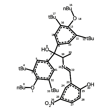 CCCCOc1c(C(C)(C)C)cc(C(O)(c2cc(C(C)(C)C)c(OCCCC)c(C(C)(C)C)c2)C(C)N=Cc2cc([N+](=O)[O-])ccc2O)cc1C(C)(C)C